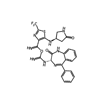 N=C(N[C@H]1N=C(c2ccccc2)c2ccccc2NC1=O)OC(=N)c1nc(C(F)(F)F)sc1N[C@H]1CNC(=O)C1